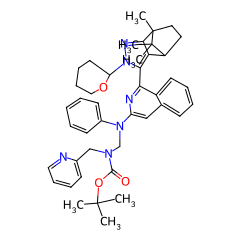 CC(C)(C)OC(=O)N(Cc1ccccn1)CN(c1ccccc1)c1cc2ccccc2c(-c2c3c(nn2C2CCCCO2)C2(C)CCC3C2(C)C)n1